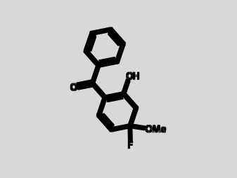 COC1(F)C=CC(C(=O)c2ccccc2)=C(O)C1